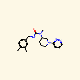 Cc1ccc(CNC(=O)N(C)C2CCCN(c3cccnn3)C2)cc1C